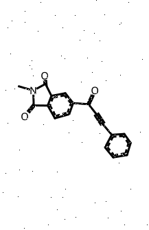 CN1C(=O)c2ccc(C(=O)C#Cc3ccccc3)cc2C1=O